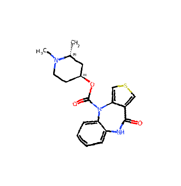 C[C@@H]1C[C@@H](OC(=O)N2c3ccccc3NC(=O)c3cscc32)CCN1C